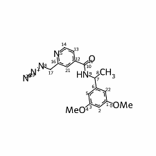 COc1cc(OC)cc(C(C)NC(=O)c2ccnc(CN=[N+]=[N-])c2)c1